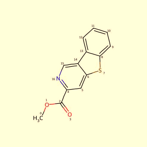 COC(=O)c1cc2sc3ccccc3c2cn1